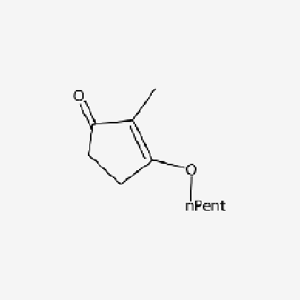 CCCCCOC1=C(C)C(=O)CC1